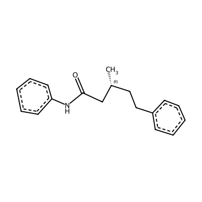 C[C@H](CCc1ccccc1)CC(=O)Nc1ccccc1